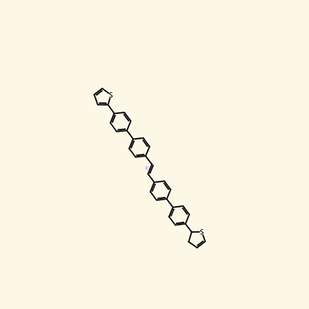 C1=CSC(c2ccc(-c3ccc(/C=C/c4ccc(-c5ccc(-c6cccs6)cc5)cc4)cc3)cc2)C1